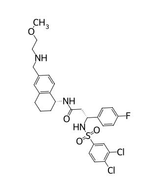 COCCNCc1ccc2c(c1)CCC[C@H]2NC(=O)C[C@@H](NS(=O)(=O)c1ccc(Cl)c(Cl)c1)c1ccc(F)cc1